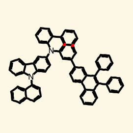 c1ccc(-c2ccccc2N(c2cccc(-c3ccc4c(c3)c(-c3ccccc3)c(-c3ccccc3)c3ccccc34)c2)c2ccc3c(c2)c2ccccc2n3-c2cccc3ccccc23)cc1